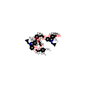 CO[C@]12CC[C@@]3(C[C@@H]1[C@](C)(O)C(C)(C)C)C1Cc4ccc(OC(=O)CC(C)(C)c5c(C)cc(C)cc5OC(=O)CCC(=O)Oc5cc(C)cc(C)c5C(C)(C)CC(=O)Oc5ccc6c7c5O[C@H]5[C@@]8(OC)CC[C@@]9(C[C@@H]8[C@](C)(O)C(C)(C)C)C(C6)N(CC6CC6)CC[C@]759)c5c4[C@@]3(CCN1CC1CC1)[C@H]2O5